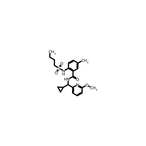 CCCCS(=O)(=O)Nc1ccc(C)cc1C(=O)NC(c1cccc(OC)n1)C1CC1